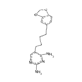 Nc1ncc(CCCCc2ccc3c(c2)OCO3)c(N)n1